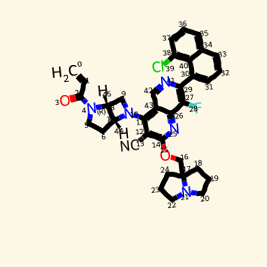 C=CC(=O)N1CC[C@@H]2[C@H]1CN2c1c(C#N)c(OCC23CCCN2CCC3)nc2c(F)c(-c3cccc4cccc(Cl)c34)ncc12